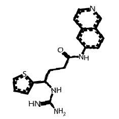 N=C(N)NC(CCC(=O)Nc1ccc2cnccc2c1)c1cccs1